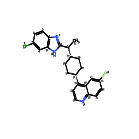 CC(c1nc2ccc(Cl)cc2[nH]1)[C@H]1CC[C@@H](c2ccnc3ccc(F)cc32)CC1